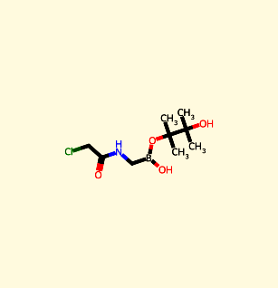 CC(C)(O)C(C)(C)OB(O)CNC(=O)CCl